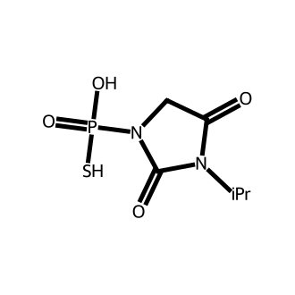 CC(C)N1C(=O)CN(P(=O)(O)S)C1=O